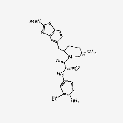 CCc1cc(NC(=O)C(=O)N2C[C@@H](C)CCC2Cc2ccc3sc(NC)nc3c2)cnc1N